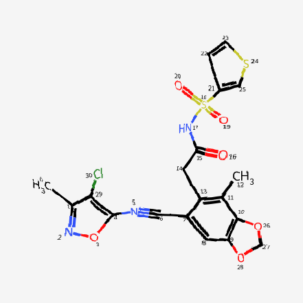 Cc1noc([N+]#Cc2cc3c(c(C)c2CC(=O)NS(=O)(=O)c2ccsc2)OCO3)c1Cl